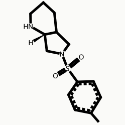 Cc1ccc(S(=O)(=O)N2CC3CCCN[C@H]3C2)cc1